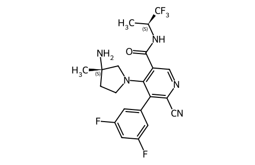 C[C@H](NC(=O)c1cnc(C#N)c(-c2cc(F)cc(F)c2)c1N1CC[C@](C)(N)C1)C(F)(F)F